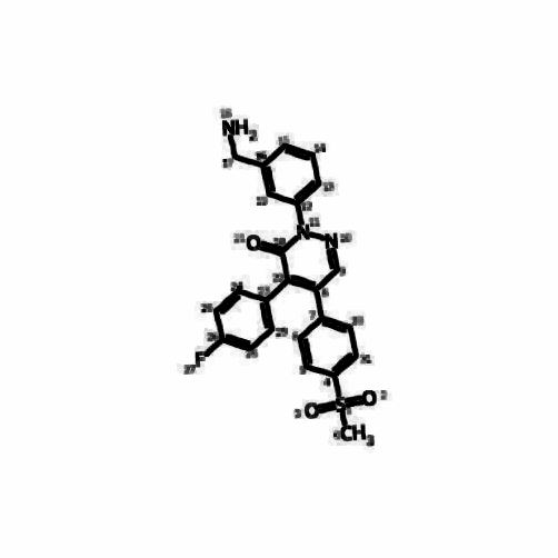 CS(=O)(=O)c1ccc(-c2cnn(-c3cccc(CN)c3)c(=O)c2-c2ccc(F)cc2)cc1